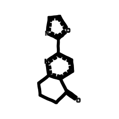 O=C1CCCc2nc(-c3ncco3)ccc21